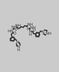 N=C(CCCCC(=N)SC(N)NC(=O)Cc1cccc(CN2CCNCC2)c1)SC(=N)NC(=O)Cc1cccc(CN2CCNCC2)c1